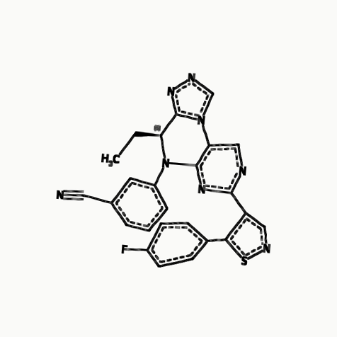 CC[C@H]1c2nncn2-c2cnc(-c3cnsc3-c3ccc(F)cc3)nc2N1c1cccc(C#N)c1